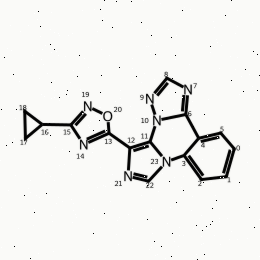 c1ccc2c(c1)c1ncnn1c1c(-c3nc(C4CC4)no3)ncn21